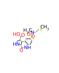 CSCCN(C)S(=O)(=O)c1ccc2[nH]c(=O)c3[nH]cc(C(=O)O)c3c2c1